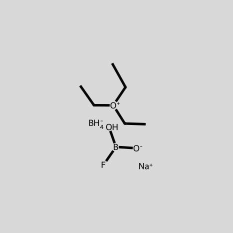 CC[O+](CC)CC.[BH4-].[Na+].[O-]B(O)F